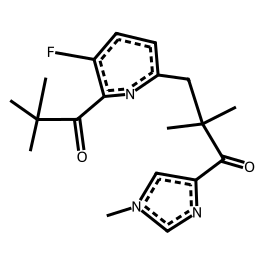 Cn1cnc(C(=O)C(C)(C)Cc2ccc(F)c(C(=O)C(C)(C)C)n2)c1